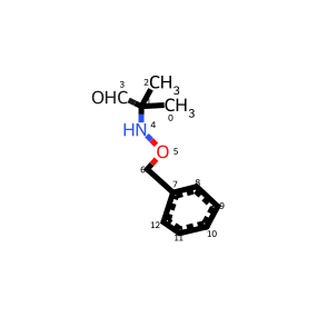 CC(C)(C=O)NOCc1ccccc1